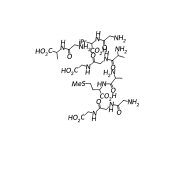 CC(C)C(NC(=O)CN)C(=O)O.CC(N)C(=O)NCC(=O)NCC(=O)O.CC(NC(=O)CN)C(=O)O.CSCCC(NC(=O)C(C)N)C(=O)O.NCC(=O)NCC(=O)NCC(=O)O